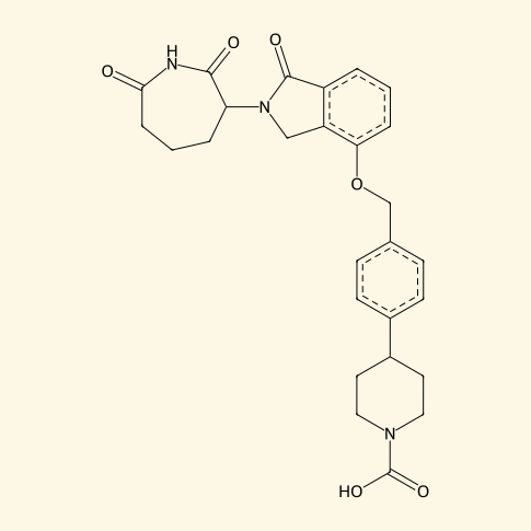 O=C1CCCC(N2Cc3c(OCc4ccc(C5CCN(C(=O)O)CC5)cc4)cccc3C2=O)C(=O)N1